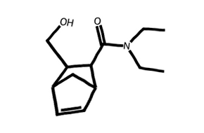 CCN(CC)C(=O)C1C2C=CC(C2)C1CO